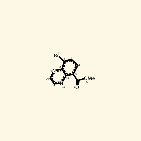 COC(=O)c1ccc(Br)c2nccnc12